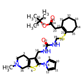 CN1CCc2c(sc(-n3cccc3)c2CNC(=O)NCSC2=C(CC(=O)OC(C)(C)C)CCCCC2)C1